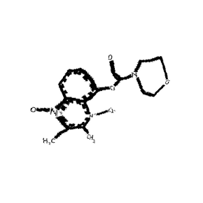 Cc1c(C)[n+]([O-])c2c(OC(=O)N3CCOCC3)cccc2[n+]1[O-]